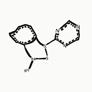 CC(C)N1SN(c2ncncn2)c2ccccc21